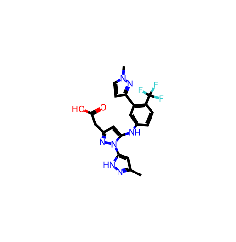 Cc1cc(-n2nc(CC(=O)O)cc2Nc2ccc(C(F)(F)F)c(-c3ccn(C)n3)c2)[nH]n1